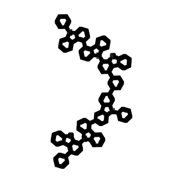 c1ccc(-c2ccc(-n3c4ccccc4c4c(-c5ccc6c(c5)c5ccc(-c7cccc(-c8ccc(-n9c%10ccccc%10c%10c(-c%11cccc%12c%11c%11ccccc%11n%12-c%11ccccc%11)cccc%109)c9oc%10ccccc%10c89)c7)cc5n6-c5ccccc5)cccc43)c3oc4ccccc4c23)cc1